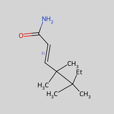 CCC(C)(C)C(C)(C)/C=C/C(N)=O